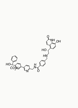 O=C(NCc1ccc(-c2ccc([C@](O)(C(=O)O)c3ccccc3)cc2)cn1)c1ccc(CNC[C@H](O)c2ccc(O)c3[nH]c(=O)ccc23)cc1